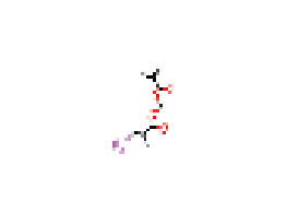 CC(C)C(=O)OCOC(=O)C(C)CP